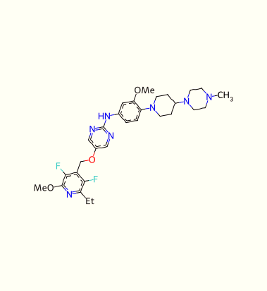 CCc1nc(OC)c(F)c(COc2cnc(Nc3ccc(N4CCC(N5CCN(C)CC5)CC4)c(OC)c3)nc2)c1F